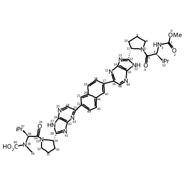 COC(=O)N[C@H](C(=O)N1CCC[C@H]1c1nc2nc(-c3ccc4cc(-c5cnc6[nH]c([C@@H]7CCCN7C(=O)[C@H](C(C)C)N(C)C(=O)O)nc6n5)ccc4c3)cnc2[nH]1)C(C)C